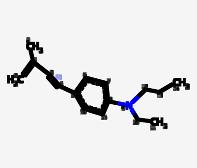 C=C(C)/C=C/c1ccc(N(CC)CCC)cc1